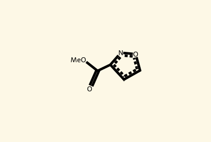 COC(=O)c1[c]con1